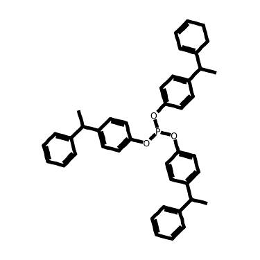 CC(C1=CC=CCC1)c1ccc(OP(Oc2ccc(C(C)c3ccccc3)cc2)Oc2ccc(C(C)c3ccccc3)cc2)cc1